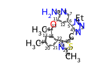 CCn1nnc2c1-c1cnc(N)c(c1)OC(C)c1cc(C)ccc1-c1nc(C)sc1C2